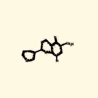 CCn1cc(C(=O)O)c(=O)c2cnc(-c3cccnc3)nc21